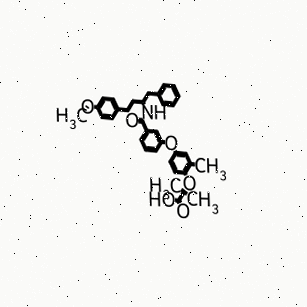 COc1ccc(CCC(Cc2ccccc2)NC(=O)c2cccc(Oc3ccc(OC(C)(C)C(=O)O)c(C)c3)c2)cc1